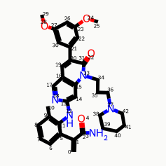 C=C(C(N)=O)c1cccc(C)c1Nc1cc2c(cn1)cc(-c1cc(OC)cc(OC)c1)c(=O)n2CCCN1CCCCC1